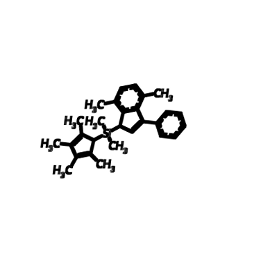 CC1=C(C)C([Si](C)(C)C2C=C(c3ccccc3)c3c(C)ccc(C)c32)C(C)=C1C